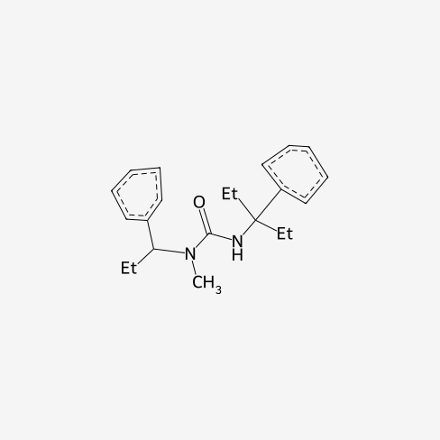 CCC(c1ccccc1)N(C)C(=O)NC(CC)(CC)c1ccccc1